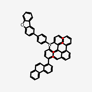 c1ccc(-c2cccc3cccc(-c4ccccc4N(c4ccc(-c5ccc6oc7ccccc7c6c5)cc4)c4ccc(-c5cccc6c5ccc5ccccc56)cc4)c23)cc1